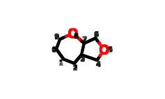 C1CCC2COCC2OC1